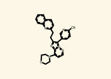 N#Cc1ccc(-c2c(CCc3ccc4ccccc4n3)nc3c(N4CCOCC4)ccnn23)cn1